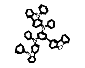 c1ccc(N(c2cc(-c3ccc4oc5ccccc5c4c3)cc(N(c3ccccc3)c3ccc4c5ccccc5n(-c5ccccc5)c4c3)c2)c2ccc3c4ccccc4n(-c4ccccc4)c3c2)cc1